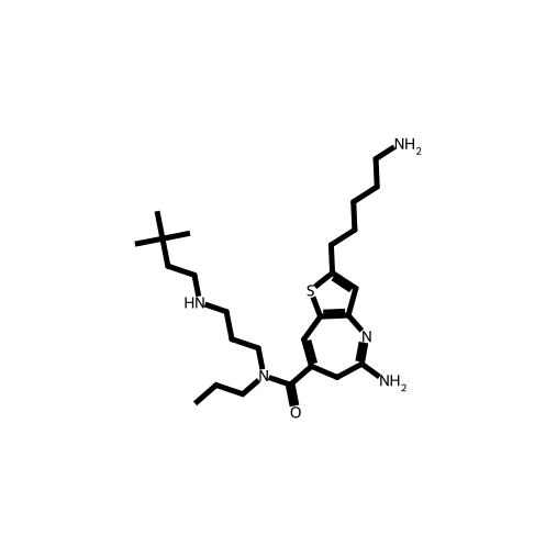 CCCN(CCCNCCC(C)(C)C)C(=O)C1=Cc2sc(CCCCCN)cc2N=C(N)C1